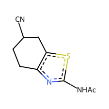 CC(=O)Nc1nc2c(s1)CC(C#N)CC2